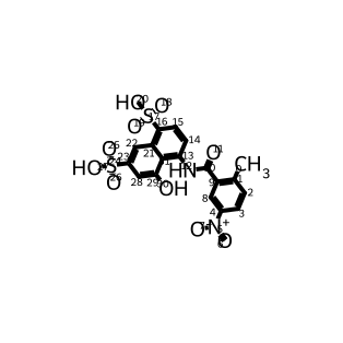 Cc1ccc([N+](=O)[O-])cc1C(=O)Nc1ccc(S(=O)(=O)O)c2cc(S(=O)(=O)O)cc(O)c12